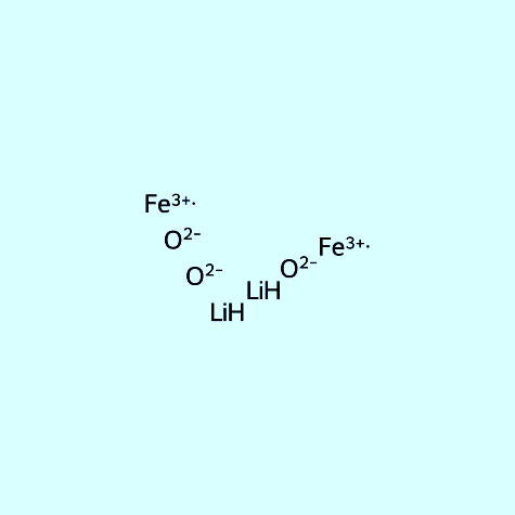 [Fe+3].[Fe+3].[LiH].[LiH].[O-2].[O-2].[O-2]